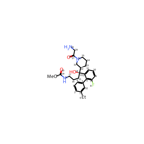 CCc1cccc(-c2c(F)cccc2[C@](O)(CCCNC(=O)OC)[C@@H]2CCCN(C(=O)CN)C2)c1